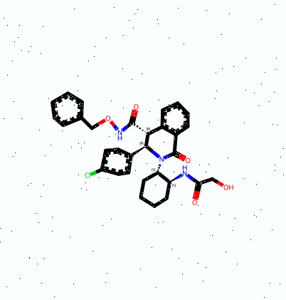 O=C(CO)N[C@H]1CCCC[C@@H]1N1C(=O)c2ccccc2[C@@H](C(=O)NOCc2ccccc2)[C@@H]1c1ccc(Cl)cc1